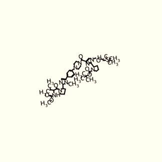 COC(=O)NC(C(=O)N1CCCC1c1ncc(-c2ccc(N3CCN(C(=O)c4cn(COCC[Si](C)(C)C)c(C5CCCN5C(=O)OC(C)(C)C)n4)CC3)cc2)n1C)C(C)C